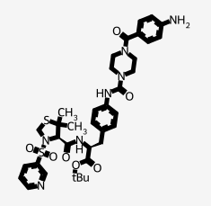 CC(C)(C)OC(=O)[C@H](Cc1ccc(NC(=O)N2CCN(C(=O)c3ccc(N)cc3)CC2)cc1)NC(=O)[C@H]1N(S(=O)(=O)c2cccnc2)CSC1(C)C